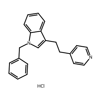 Cl.c1ccc(Cn2cc(CCc3ccncc3)c3ccccc32)cc1